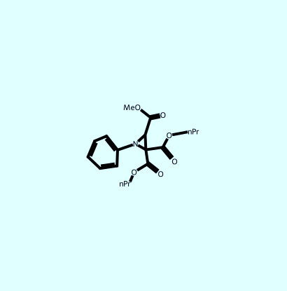 CCCOC(=O)C1(C(=O)OCCC)C(C(=O)OC)N1c1ccccc1